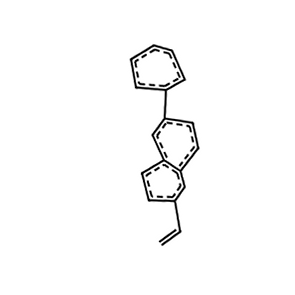 C=Cc1ccc2cc(-c3ccccc3)ccc2c1